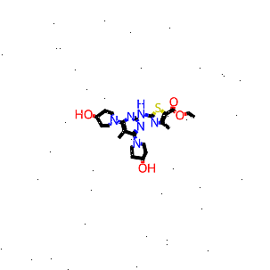 CCOC(=O)c1sc(Nc2nc(N3CCC(O)CC3)c(C)c(N3CCC(O)CC3)n2)nc1C